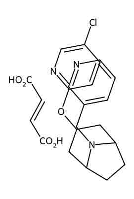 Clc1ccc(OC2CC3CCC(C2)N3Cc2cccnc2)nc1.O=C(O)/C=C/C(=O)O